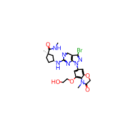 CNC(=O)[C@]1(C)CC[C@@H](Nc2ncc3c(Br)nn(-c4cc(OCCO)c5c(c4)OCC(=O)N5C)c3n2)C1